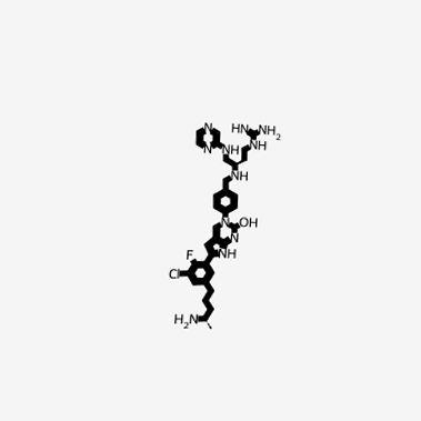 C[C@H](N)CCCc1cc(Cl)c(F)c(-c2cc3c([nH]2)=NC(O)N(c2ccc(CN[C@H](CCNC(=N)N)CNc4cnccn4)cc2)C=3)c1